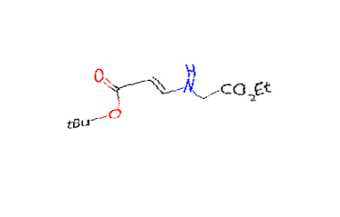 CCOC(=O)CNC=CC(=O)OC(C)(C)C